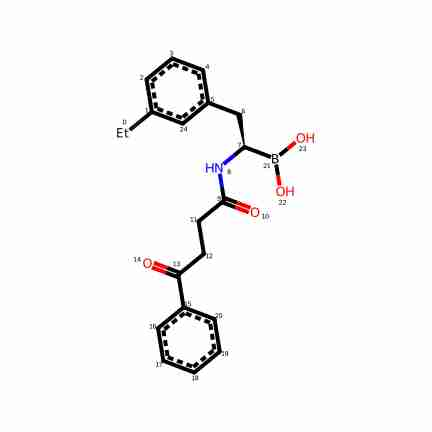 CCc1cccc(C[C@H](NC(=O)CCC(=O)c2ccccc2)B(O)O)c1